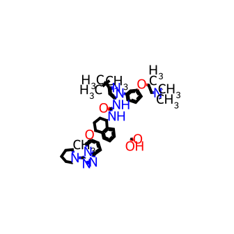 C[C@@H](CN(C)C)Oc1cccc(-n2nc(C(C)(C)C)cc2NC(=O)N[C@H]2CC[C@@H](Oc3ccc4nnc(N5CCCC[C@@H]5C)n4c3)c3ccccc32)c1.O=CO